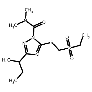 CCC(C)c1nc(SCS(=O)(=O)CC)n(C(=O)N(C)C)n1